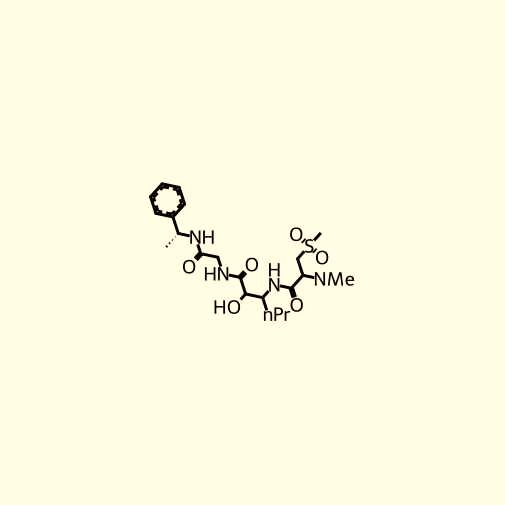 CCCC(NC(=O)C(CS(C)(=O)=O)NC)C(O)C(=O)NCC(=O)N[C@H](C)c1ccccc1